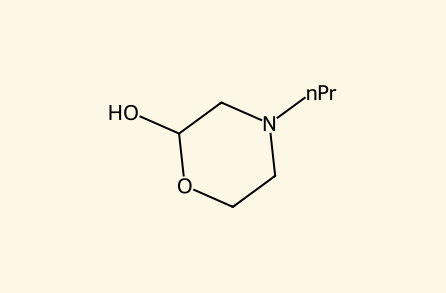 [CH2]CCN1CCOC(O)C1